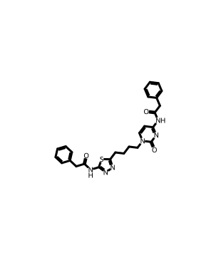 O=C(Cc1ccccc1)Nc1ccn(CCCCc2nnc(NC(=O)Cc3ccccc3)s2)c(=O)n1